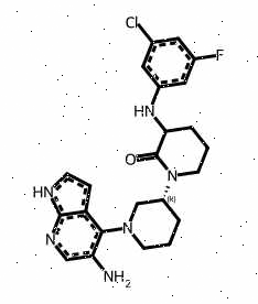 Nc1cnc2[nH]ccc2c1N1CCC[C@@H](N2CCCC(Nc3cc(F)cc(Cl)c3)C2=O)C1